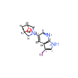 Ic1c[nH]c2ncc(N3CC4CC(C3)O4)cc12